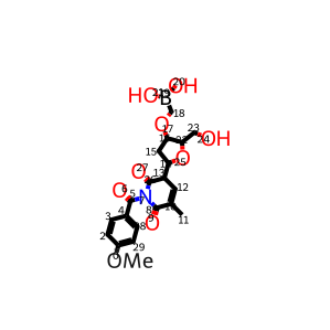 COc1ccc(C(=O)N2C(=O)C(C)=CC(C3CC(OCB(O)O)C(CO)O3)C2=O)cc1